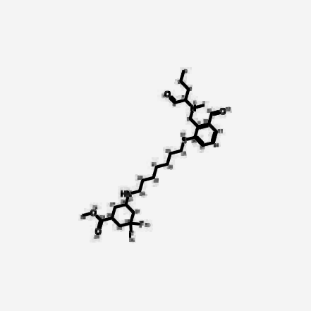 CCCC(C=O)N(C)Cc1c(C=O)cccc1SCCCCCCCNC1CC(C(=O)OC)CC(F)(F)C1